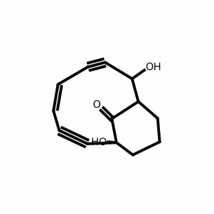 O=C1C2CCCC1(O)C#CC=CC#CC2O